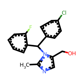 Cc1ncc(CO)n1C(c1ccc(Cl)cc1)c1ccccc1F